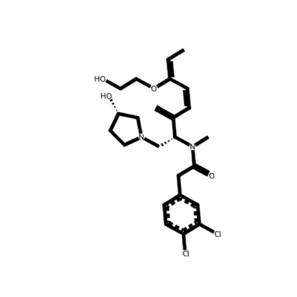 C=C(/C=C\C(=C/C)OCCO)[C@@H](CN1CC[C@H](O)C1)N(C)C(=O)Cc1ccc(Cl)c(Cl)c1